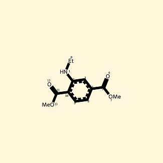 CCNc1cc(C(=O)OC)ccc1C(=O)OC